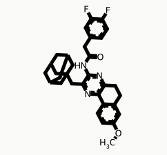 COc1ccc2c(c1)CCc1nc(NC(=O)Cc3ccc(F)c(F)c3)c(CC34CC5CC(CC(C5)C3)C4)nc1-2